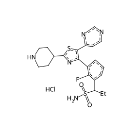 CCC(c1cccc(-c2nc(C3CCNCC3)sc2-c2ccncn2)c1F)S(N)(=O)=O.Cl